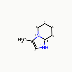 CC1=CNC2CCCCN12